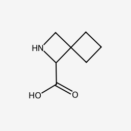 O=C(O)C1NCC12CCC2